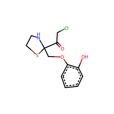 O=C(CCl)C1(COc2ccccc2O)NCCS1